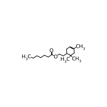 CCCCCCC(=O)OCCC1CC=C(C)CC1(C)C